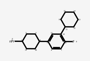 CCCC1CCC(c2ccc(F)c(C3CCCCC3)c2)CC1